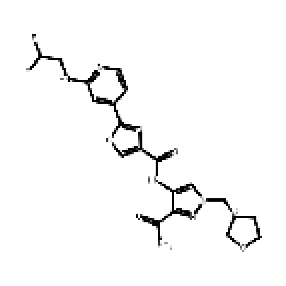 NC(=O)c1nn(C[C@H]2CCOC2)cc1NC(=O)c1coc(-c2ccnc(NCC(F)F)c2)n1